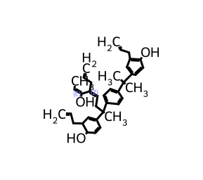 C=CCC(=C/CC(C)(C1=CC(CC=C)C(O)C=C1)c1ccc(C(C)(C)c2ccc(O)c(CC=C)c2)cc1)/C(O)=C\C